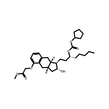 CCCCC[C@H](CC[C@@H]1[C@H]2Cc3cccc(OCC(=O)OC)c3C[C@H]2C[C@H]1O)OC(=O)OC1CCCC1